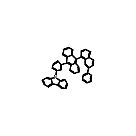 c1ccc(-c2ccc3cccc(-c4c5ccccc5c(-c5cccc(-n6c7ccccc7c7ccccc76)c5)c5ccccc45)c3c2)cc1